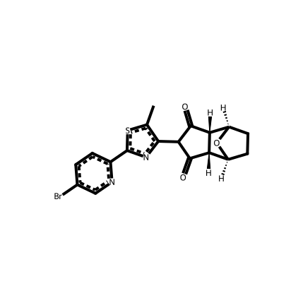 Cc1sc(-c2ccc(Br)cn2)nc1C1C(=O)[C@@H]2[C@H](C1=O)[C@H]1CC[C@@H]2O1